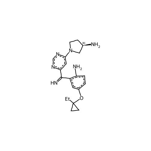 CCC1(Oc2ccc(N)c(C(=N)c3cc(N4CC[C@@H](N)C4)ncn3)c2)CC1